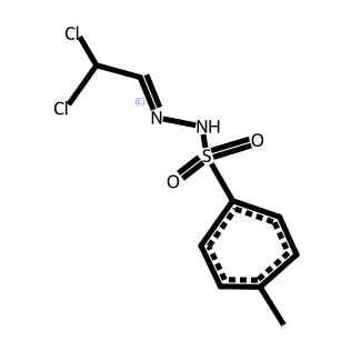 Cc1ccc(S(=O)(=O)N/N=C/C(Cl)Cl)cc1